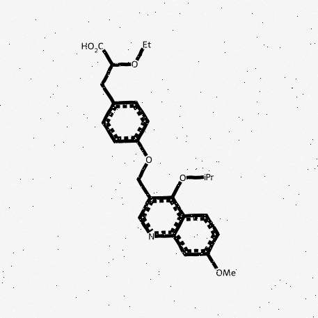 CCOC(Cc1ccc(OCc2cnc3cc(OC)ccc3c2OC(C)C)cc1)C(=O)O